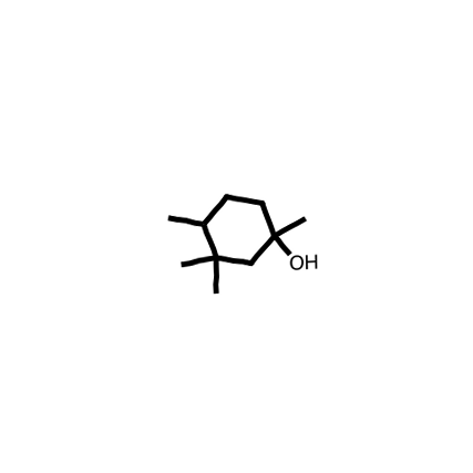 CC1CCC(C)(O)CC1(C)C